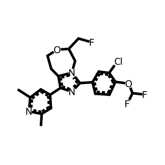 Cc1cc(-c2nc(-c3ccc(OC(F)F)c(Cl)c3)n3c2CCOC(CF)C3)cc(C)n1